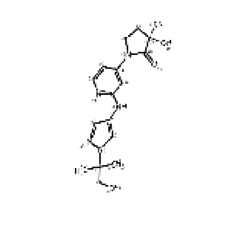 CC(C)(CO)n1cc(Nc2cc(N3CC[C@](O)(C#N)C3=O)ccn2)cn1